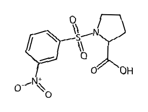 O=C(O)C1CCCN1S(=O)(=O)c1cccc([N+](=O)[O-])c1